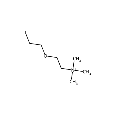 C[N+](C)(C)CCOCCI